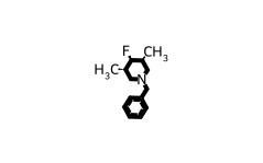 C[C@@H]1CN(Cc2ccccc2)C[C@H](C)[C@H]1F